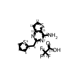 Nc1nc(Cc2cccs2)nc2ccsc12.O=C(O)C(F)(F)F